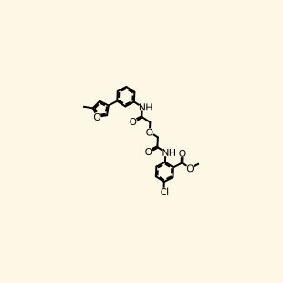 COC(=O)c1cc(Cl)ccc1NC(=O)COCC(=O)Nc1cccc(-c2coc(C)c2)c1